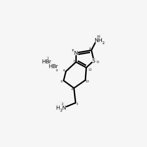 Br.Br.NCC1CCc2nc(N)sc2C1